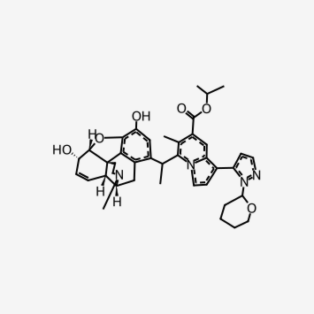 Cc1c(C(=O)OC(C)C)cc2c(-c3ccnn3C3CCCCO3)ccn2c1C(C)c1cc(O)c2c3c1C[C@@H]1[C@@H]4C=C[C@H](O)[C@H](O2)[C@]34CCN1C